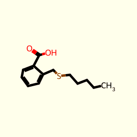 CCCCCSCc1ccccc1C(=O)O